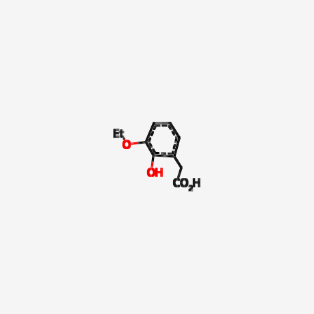 CCOc1cccc(CC(=O)O)c1O